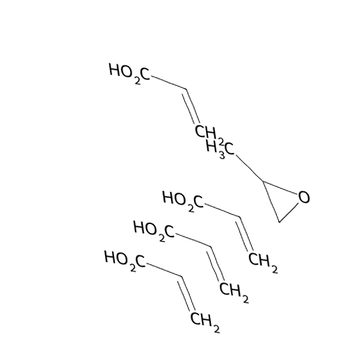 C=CC(=O)O.C=CC(=O)O.C=CC(=O)O.C=CC(=O)O.CC1CO1